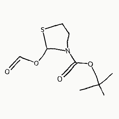 CC(C)(C)OC(=O)N1CCSC1OC=O